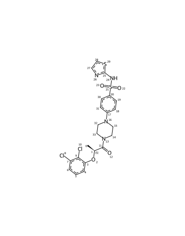 C[C@H](Oc1cccc(Cl)c1Cl)C(=O)N1CCN(c2ccc(S(=O)(=O)Nc3nccs3)cc2)CC1